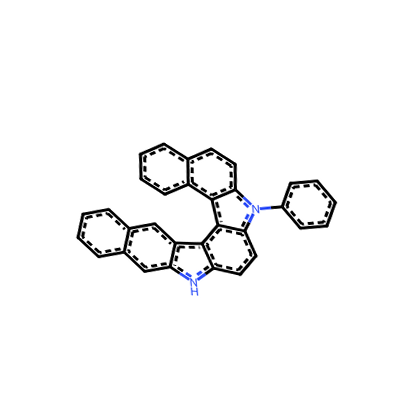 c1ccc(-n2c3ccc4ccccc4c3c3c4c(ccc32)[nH]c2cc3ccccc3cc24)cc1